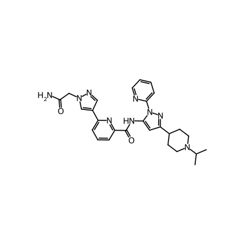 CC(C)N1CCC(c2cc(NC(=O)c3cccc(-c4cnn(CC(N)=O)c4)n3)n(-c3ccccn3)n2)CC1